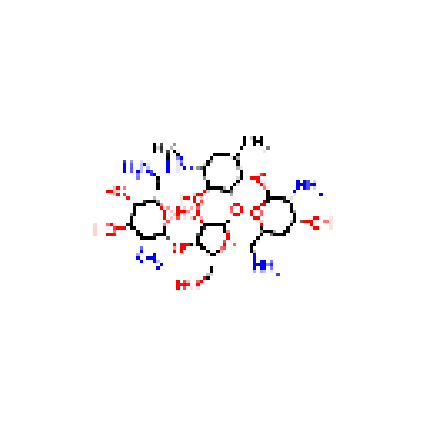 CN[C@@H]1C[C@H](C)[C@@H](O[C@H]2O[C@H](CN)C[C@H](O)[C@H]2N)[C@H](O[C@@H]2O[C@H](CO)[C@@H](O[C@H]3O[C@@H](CN)[C@@H](O)[C@H](O)[C@H]3N)[C@H]2O)[C@H]1O